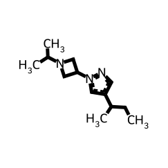 CCC(C)c1cnn(C2CN(C(C)C)C2)c1